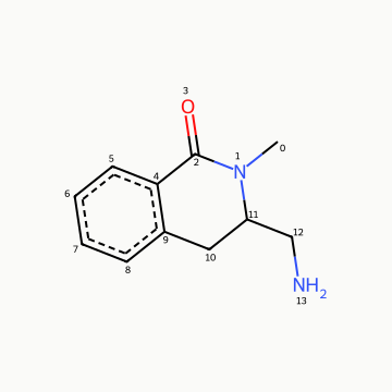 CN1C(=O)c2ccccc2CC1CN